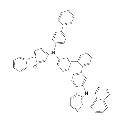 c1ccc(-c2ccc(N(c3cccc(-c4ccccc4-c4ccc5c6ccccc6n(-c6cccc7ccccc67)c5c4)c3)c3ccc4c(c3)oc3ccccc34)cc2)cc1